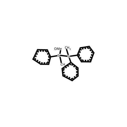 CO[Si](C)(c1ccccc1)[Si](C)(c1ccccc1)c1ccccc1